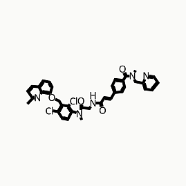 Cc1ccc2cccc(OCc3c(Cl)ccc(N(C)C(=O)CNC(=O)C=Cc4ccc(C(=O)N(C)Cc5ccccn5)cc4)c3Cl)c2n1